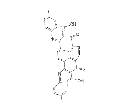 Cc1ccc2nc3c(c(O)c2c1)C(=O)c1ccc2c4c(ccc-3c14)-c1nc3ccc(C)cc3c(O)c1C2=O